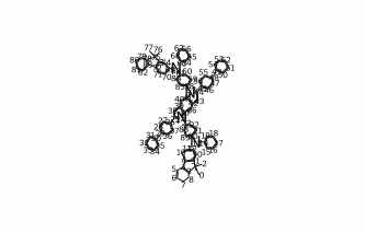 CC1(C)C2=C(C=CCC2)c2ccc(N(c3ccccc3)c3ccc(-n4c(-c5ccc(-c6ccccc6)cc5)cc5cc6c(cc(-c7ccc(-c8ccccc8)cc7)n6-c6ccc(N(c7ccccc7)c7ccc8c(c7)C(C)(C)c7ccccc7-8)cc6)cc54)cc3)cc21